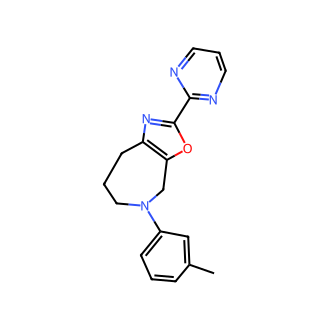 Cc1cccc(N2CCCc3nc(-c4ncccn4)oc3C2)c1